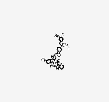 CN(Cc1ccc(F)c(Br)c1)C1CCN(C(=O)Cn2cc(NC(=O)c3cnn4cccnc34)c(-c3cc(Cl)ccc3OC(F)F)n2)CC1